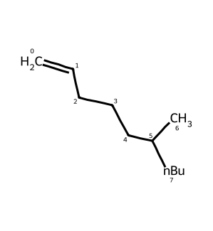 C=CCCCC(C)CCCC